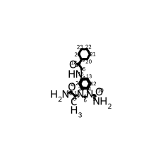 CC(C(N)=O)N1[CH]N(C(N)=O)c2ccc(NCC(=O)C3CCCCC3)cc21